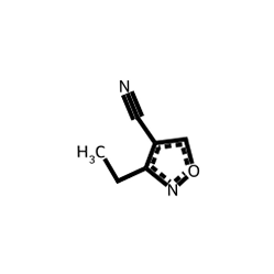 CCc1nocc1C#N